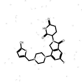 N#Cc1ccc(CN2CCN(c3cc(F)cc4c3CN(C3CCC(=O)NC3=O)C4=O)CC2)s1